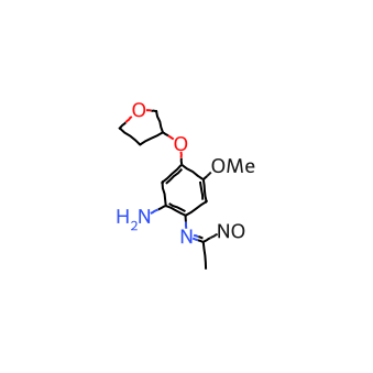 COc1cc(/N=C(/C)N=O)c(N)cc1OC1CCOC1